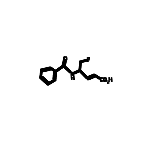 O=C(O)C=CC(CF)NC(=O)c1ccccc1